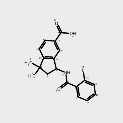 CC1(C)CC(NC(=O)c2ccccc2Cl)c2cc(C(=O)O)ccc21